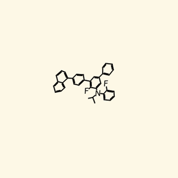 CC(C)N(c1ccccc1F)c1cc(-c2ccccc2)cc(-c2ccc(-c3cccc4ccccc34)cc2)c1F